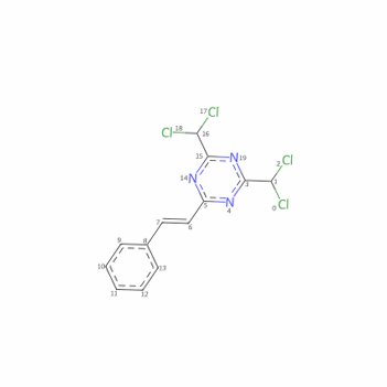 ClC(Cl)c1nc(/C=C/c2ccccc2)nc(C(Cl)Cl)n1